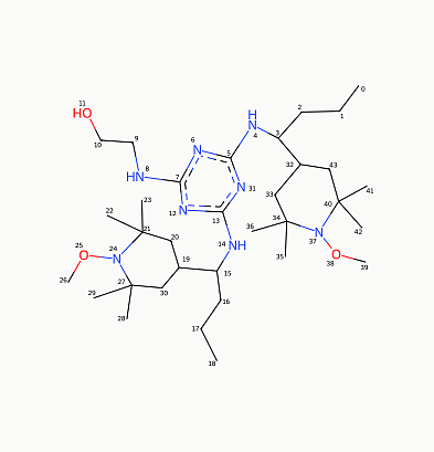 CCCC(Nc1nc(NCCO)nc(NC(CCC)C2CC(C)(C)N(OC)C(C)(C)C2)n1)C1CC(C)(C)N(OC)C(C)(C)C1